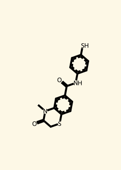 CN1C(=O)CSc2ccc(C(=O)Nc3ccc(S)cc3)cc21